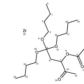 CCCCOC(CC(OC(C)=O)C(C)=O)(OCCCC)OCCCC.[Zr]